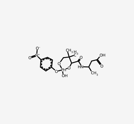 CC(CC(=O)O)NC(=O)C1O[PH](O)(Oc2ccc([N+](=O)[O-])cc2)OCC1(C)C